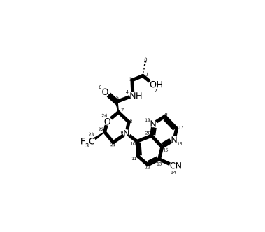 C[C@H](O)CNC(=O)[C@H]1CN(c2ccc(C#N)c3nccnc23)C[C@@H](C(F)(F)F)O1